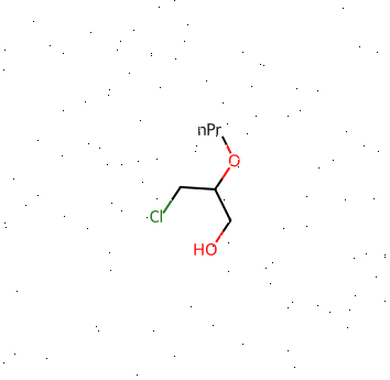 CCCOC(CO)CCl